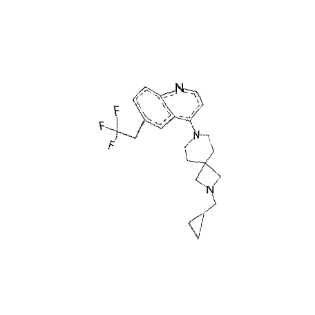 FC(F)(F)Cc1ccc2nccc(N3CCC4(CC3)CN(CC3CC3)C4)c2c1